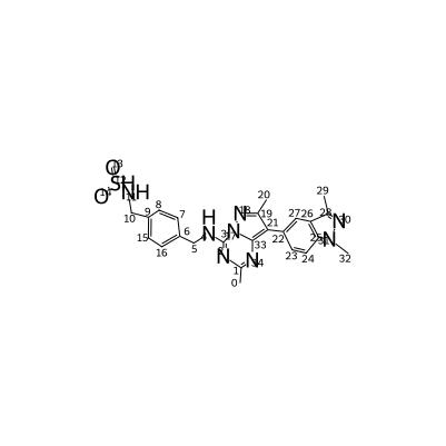 Cc1nc(NCc2ccc(CN[SH](=O)=O)cc2)n2nc(C)c(-c3ccc4c(c3)c(C)nn4C)c2n1